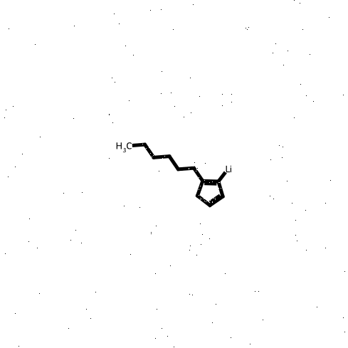 [Li][C]1=C(CCCCCC)CC=C1